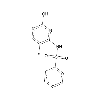 O=S(=O)(Nc1nc(O)ncc1F)c1ccccc1